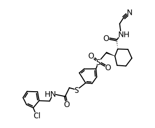 N#CCNC(=O)[C@@H]1CCCC[C@H]1CS(=O)(=O)c1ccc(SCC(=O)NCc2ccccc2Cl)cc1